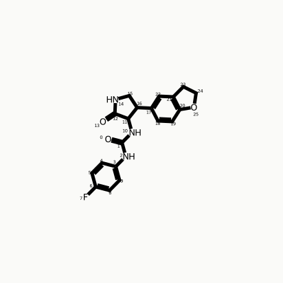 O=C(Nc1ccc(F)cc1)NC1C(=O)NCC1c1ccc2c(c1)CCO2